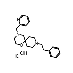 Cl.Cl.c1ccc(CCN2CCC3(CC2)CN(Cc2ccccn2)CCO3)cc1